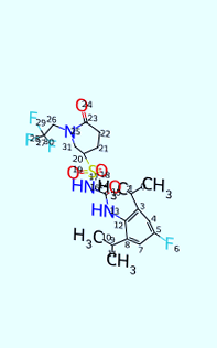 CC(C)c1cc(F)cc(C(C)C)c1NC(=O)NS(=O)(=O)C1CCC(=O)N(CC(F)(F)F)C1